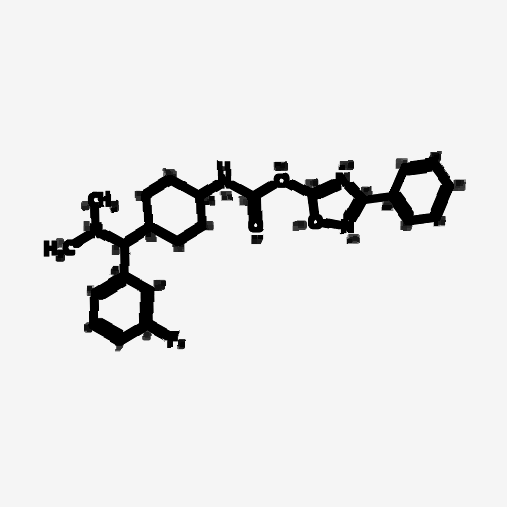 CN(C)C(c1cccc(F)c1)C1CCC(NC(=O)Oc2nc(-c3ccccc3)no2)CC1